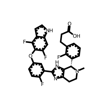 CN1CCc2nc(-c3cc(Oc4c(F)cc5[nH]ccc5c4F)ccc3F)[nH]c2[C@@H]1c1cccc(CCC(=O)O)c1F